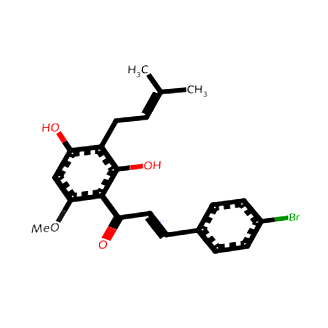 COc1cc(O)c(CC=C(C)C)c(O)c1C(=O)/C=C/c1ccc(Br)cc1